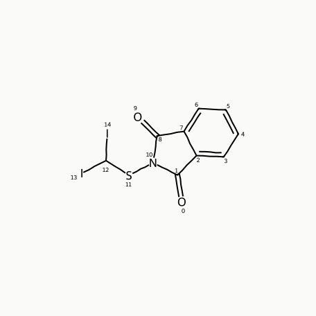 O=C1c2ccccc2C(=O)N1SC(I)I